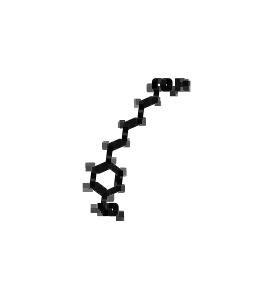 CCOC(=O)/C=C/C=C/C=C/c1ccc([N+](=O)[O-])cc1